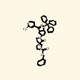 O=C(OCc1ccccc1)N1CC[C@]2(CCN(c3ccc4c(c3)c(-c3ccnc(C(F)(F)F)c3)nn4C(c3ccccc3)(c3ccccc3)c3ccccc3)C2=O)C1